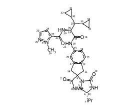 CNC(=O)C1(N2C[C@@H](C(C)C)NC2=O)Cc2ccc(NC(=O)[C@@H](NC(=O)c3ccnn3C)C(C3CC3)C3CC3)cc2C1